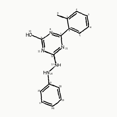 Cc1ccccc1-c1nc(O)nc(NNc2ccccc2)n1